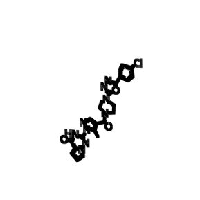 Cc1c(C(=O)N2CCN(c3nnc(-c4ccc(Cl)cc4)o3)CC2)cnn1-c1nn2cccc2c(=O)[nH]1